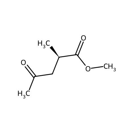 COC(=O)[C@H](C)CC(C)=O